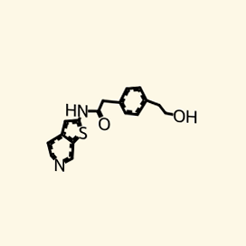 O=C(Cc1ccc(CCO)cc1)Nc1cc2ccncc2s1